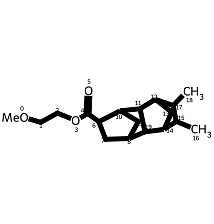 COCCOC(=O)C1CC2CC1C1C3CC(C(C)C3C)C21